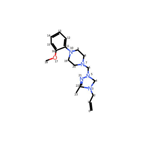 C=CCN1CN(CN2CCN(c3ccccc3OC)CC2)N=C1C